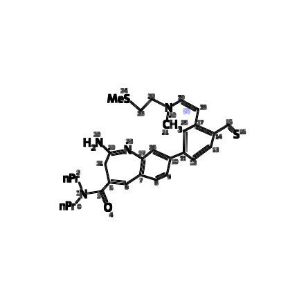 CCCN(CCC)C(=O)C1=Cc2ccc(-c3ccc(C=S)c(/C=C\N(C)CCSC)c3)cc2N=C(N)C1